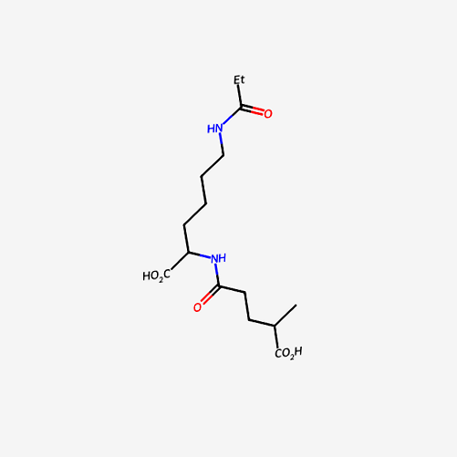 CCC(=O)NCCCCC(NC(=O)CCC(C)C(=O)O)C(=O)O